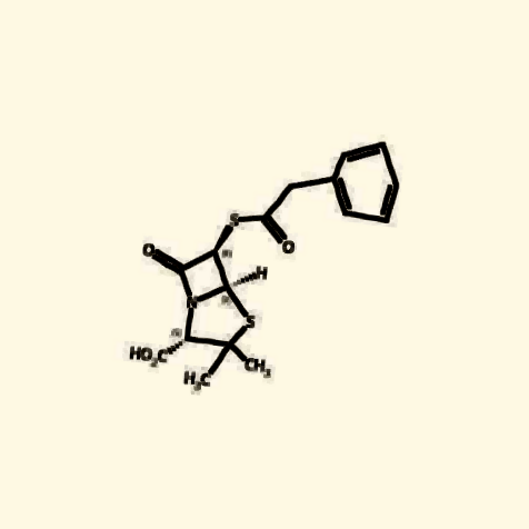 CC1(C)S[C@@H]2[C@H](SC(=O)Cc3ccccc3)C(=O)N2[C@H]1C(=O)O